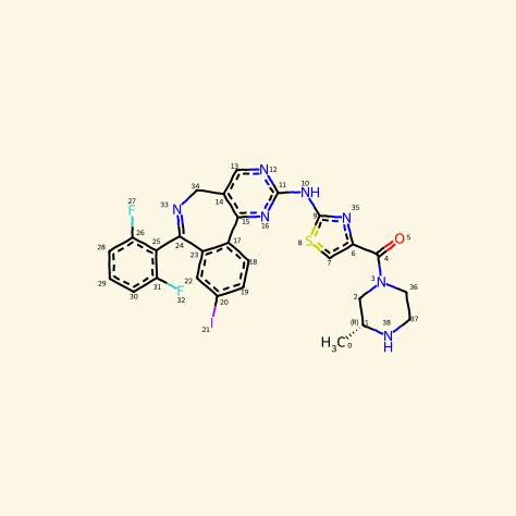 C[C@@H]1CN(C(=O)c2csc(Nc3ncc4c(n3)-c3ccc(I)cc3C(c3c(F)cccc3F)=NC4)n2)CCN1